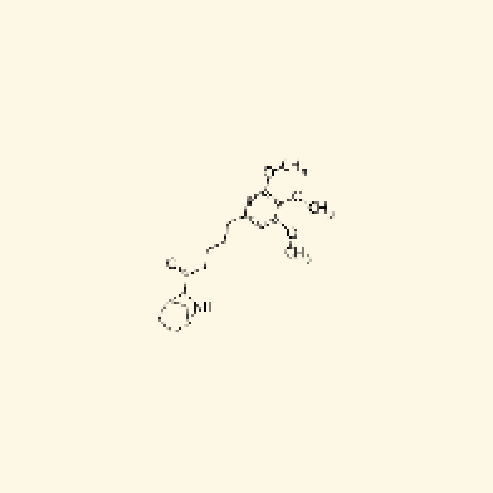 COc1cc(CCCCC(=O)C2NC3CCC2C3)cc(OC)c1OC